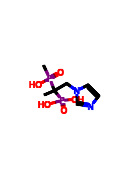 CC(Cn1ccnc1)(P(C)(=O)O)P(=O)(O)O